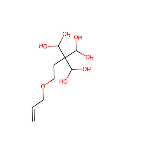 C=CCOCCC(C(O)O)(C(O)O)C(O)O